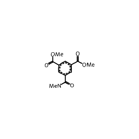 CNC(=O)c1cc(C(=O)OC)cc(C(=O)OC)c1